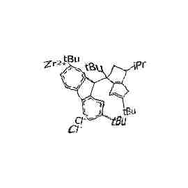 CC(C)C1CC(C2c3cc(C(C)(C)C)ccc3-c3ccc(C(C)(C)C)cc32)(C(C)(C)C)C2=C1CC(C(C)(C)C)=C2.[Cl-].[Cl-].[Zr+2]